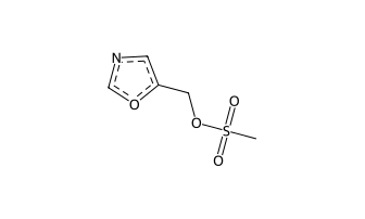 CS(=O)(=O)OCc1cnco1